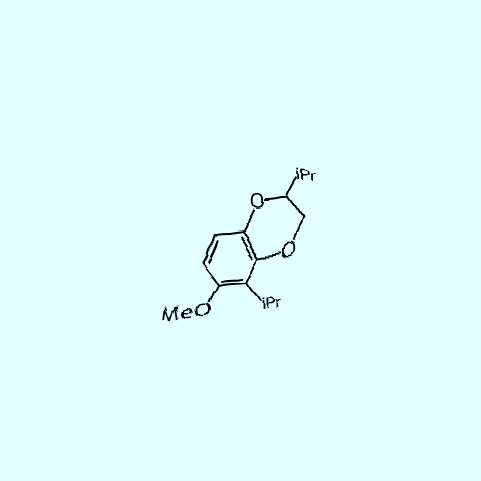 COc1ccc2c(c1C(C)C)OCC(C(C)C)O2